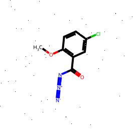 COc1ccc(Cl)cc1C(=O)N=[N+]=[N-]